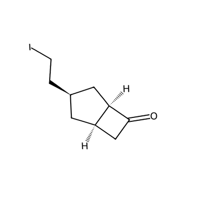 O=C1C[C@H]2C[C@@H](CCI)C[C@@H]12